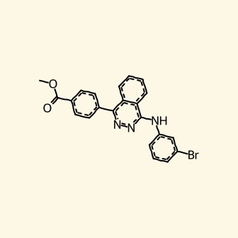 COC(=O)c1ccc(-c2nnc(Nc3cccc(Br)c3)c3ccccc23)cc1